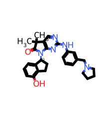 CC1(C)C(=O)N([C@H]2CCc3c(O)cccc32)c2nc(Nc3cccc(CN4CCCC4)c3)ncc21